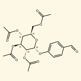 CC(=O)OC[C@H]1O[C@H](Oc2ccc(C=O)cc2)[C@H](OC(C)=O)[C@@H](OC(C)=O)[C@@H]1OC(C)=O